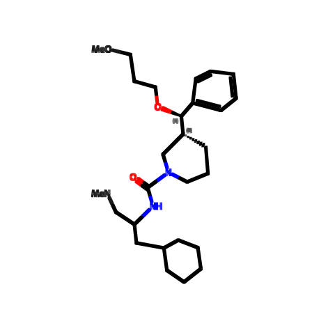 CNCC(CC1CCCCC1)NC(=O)N1CCC[C@@H]([C@@H](OCCCOC)c2ccccc2)C1